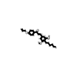 C=CCOc1ccc(C(=O)C=Cc2cc(OC)c(CCCCCC)c(OC)c2)cc1